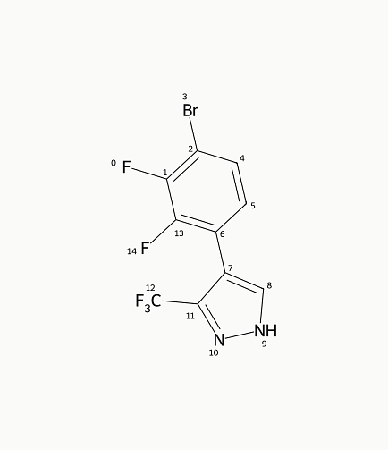 Fc1c(Br)ccc(-c2c[nH]nc2C(F)(F)F)c1F